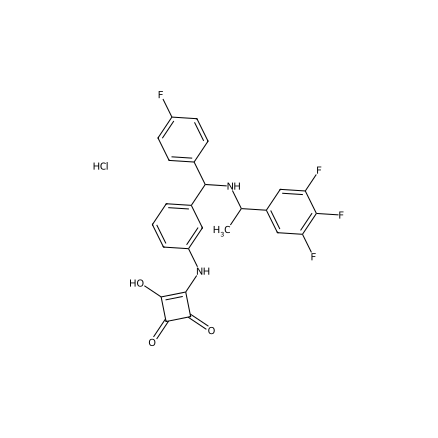 CC(NC(c1ccc(F)cc1)c1cccc(Nc2c(O)c(=O)c2=O)c1)c1cc(F)c(F)c(F)c1.Cl